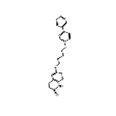 O=C1CCc2cc(OCCCCSc3ccc(-c4ccccc4)cc3)ccc2N1